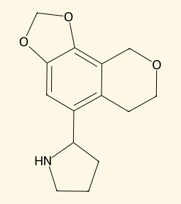 c1c2c(c3c(c1C1CCCN1)CCOC3)OCO2